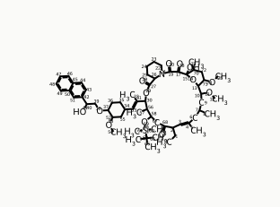 CCC1/C=C(\C)CC(C)CC(OC)C2OC(O)(C(=O)C(=O)N3CCCCC3C(=O)OC(C(C)=CC3CCC(OCC(O)c4ccc5ccccc5c4)C(OC)C3)C(C)C(O[Si](C)(C)C(C)(C)C)CC1=O)C(C)CC2OC